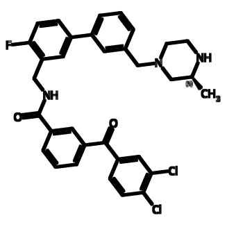 C[C@H]1CN(Cc2cccc(-c3ccc(F)c(CNC(=O)c4cccc(C(=O)c5ccc(Cl)c(Cl)c5)c4)c3)c2)CCN1